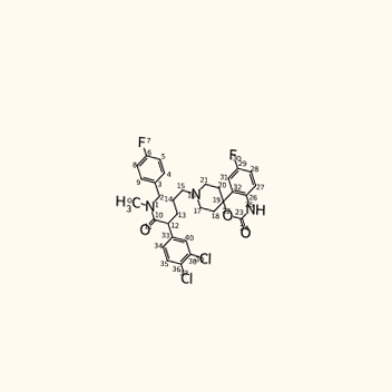 CN(Cc1ccc(F)cc1)C(=O)C(CCCN1CCC2(CC1)OC(=O)Nc1ccc(F)cc12)c1ccc(Cl)c(Cl)c1